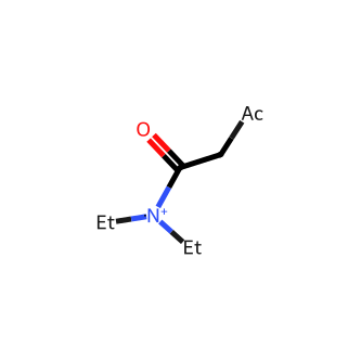 CC[N+](CC)C(=O)CC(C)=O